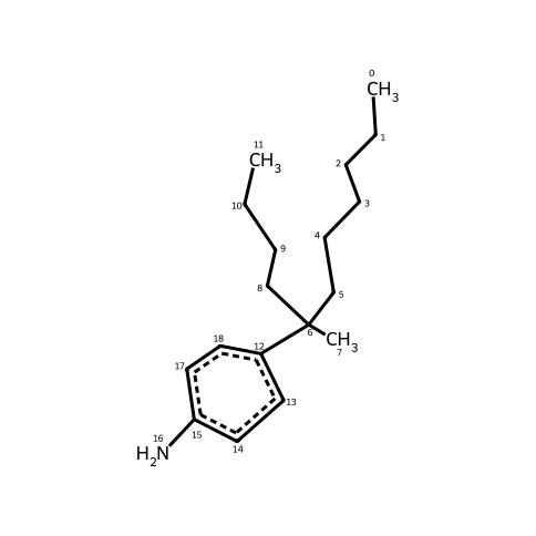 CCCCCCC(C)(CCCC)c1ccc(N)cc1